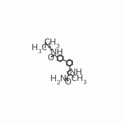 Cc1[nH]c(-c2cccc(-c3ccc(C(=O)NCCN(C)C)cc3)c2)cc1C(N)=O